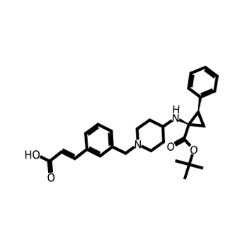 CC(C)(C)OC(=O)[C@@]1(NC2CCN(Cc3cccc(/C=C/C(=O)O)c3)CC2)C[C@@H]1c1ccccc1